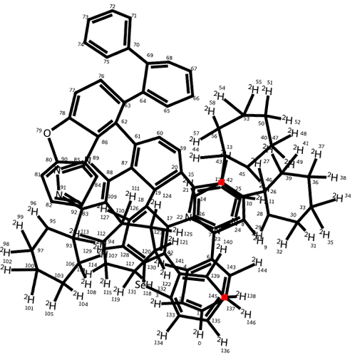 [2H]c1c([2H])c([2H])c(-c2c([2H])c([2H])c([2H])c([2H])c2-c2c(-c3c(-c4nnnc(C5([2H])C([2H])C([2H])([2H])C([2H])([2H])C([2H])([2H])C5([2H])[2H])c4C4([2H])C([2H])C([2H])([2H])C([2H])([2H])C([2H])([2H])C4([2H])[2H])ccc(-c4c(-c5ccccc5-c5ccccc5)ccc5oc6ccccc6c45)c3-c3nnnc(C4([2H])C([2H])C([2H])([2H])C([2H])([2H])C([2H])([2H])C4([2H])[2H])c3C3([2H])C([2H])C([2H])([2H])C([2H])([2H])C([2H])([2H])C3([2H])[2H])c([2H])c([2H])c3[se]c4c([2H])c([2H])c([2H])c([2H])c4c23)c([2H])c1[2H]